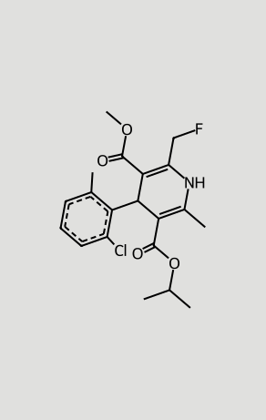 COC(=O)C1=C(CF)NC(C)=C(C(=O)OC(C)C)C1c1c(C)cccc1Cl